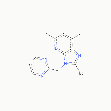 CCc1nc2c(C)cc(C)nc2n1Cc1nc[c]cn1